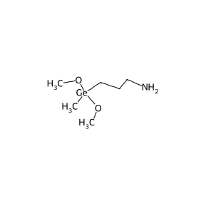 C[O][Ge]([CH3])([CH2]CCN)[O]C